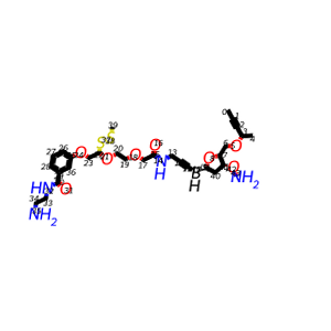 CC#CC(C)OCC1O[C@@H](BC#CCNC(=O)COCCOC(COc2cccc(C(=O)NCCN)c2)SSC)C[C@H]1ON